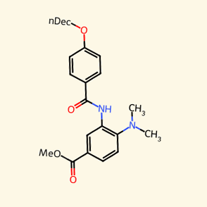 CCCCCCCCCCOc1ccc(C(=O)Nc2cc(C(=O)OC)ccc2N(C)C)cc1